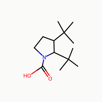 CC(C)(C)C1CCN(C(=O)O)C1C(C)(C)C